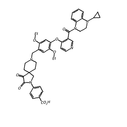 CCOc1cc(Oc2ccncc2C(=O)N2CCN(C3CC3)c3ccccc32)c(OCC)cc1CN1CCC2(CC1)CN(c1ccc(C(=O)O)cc1)C(=O)C2=O